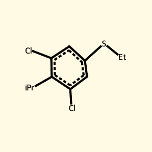 CCSc1cc(Cl)c(C(C)C)c(Cl)c1